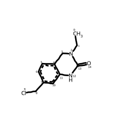 CCN1Cc2ccc(CCl)cc2NC1=O